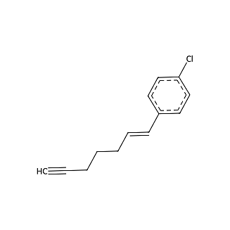 C#CCCCC=Cc1ccc(Cl)cc1